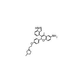 CC1=C(c2cccc3[nH]ncc23)C(c2ccc(OCCN3CCC(C)C3)cc2)Oc2ccc(N)cc21